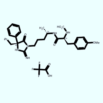 COc1ccc(C[C@H](NC(=O)O)C(=O)N[C@@H](C)CCCN2C(=N)N[C@](CC(C)C)(c3ccccc3)C2=O)cc1.O=C(O)C(F)(F)F